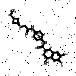 O=C(COC1CC(OC(F)(F)F)C1)NC12CCC(NC(=O)[C@H]3C[C@@H](O)c4cc(F)c(F)cc4O3)(CC1)CC2